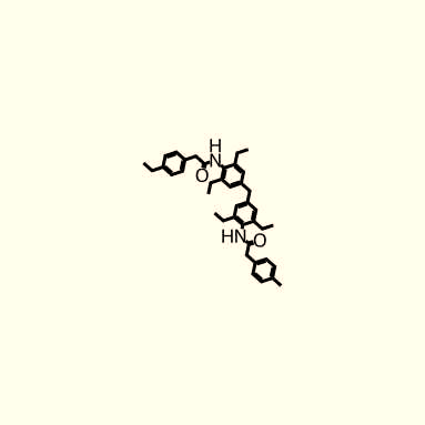 CCc1ccc(CC(=O)Nc2c(CC)cc(Cc3cc(CC)c(NC(=O)Cc4ccc(C)cc4)c(CC)c3)cc2CC)cc1